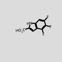 O=C(O)c1cc2c(F)c(F)c(F)cc2[nH]1